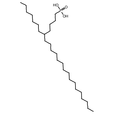 CCCCCCCCCCCCCCCC[C](CCCCCCC)CCCCP(=O)(O)O